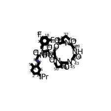 CC(C)C1CCC(C)C(/C=C/C(=O)N[C@@H](Cc2cc(F)cc(F)c2)C(=O)N[C@H]2COC(=O)[C@@H]3CCCN3C(=O)[C@H](C)NC(=O)[C@H](C)N(C)C(=O)[C@@H]3CCCN3C2=O)C1